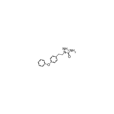 NC(=O)N(N)CCc1ccc(Oc2ccccc2)cc1